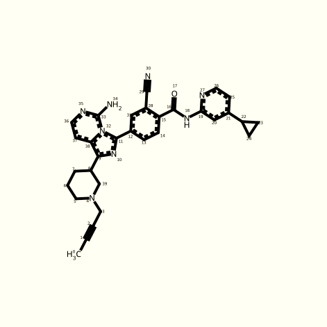 CC#CCN1CCCC(c2nc(-c3ccc(C(=O)Nc4cc(C5CC5)ccn4)c(C#N)c3)n3c(N)nccc23)C1